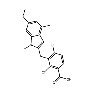 COc1cc(C)c2cc(Cc3c(Cl)ccc(C(=O)O)c3Cl)n(C)c2c1